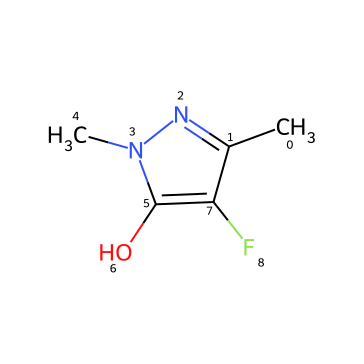 Cc1nn(C)c(O)c1F